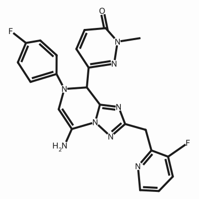 Cn1nc(C2c3nc(Cc4ncccc4F)nn3C(N)=CN2c2ccc(F)cc2)ccc1=O